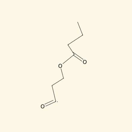 CCCC(=O)OCC[C]=O